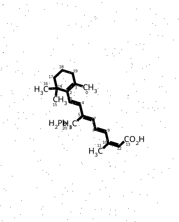 CC1=C(/C=C/C(C)=C/C=C/C(C)=C\C(=O)O)C(C)(C)CCC1.[PbH2]